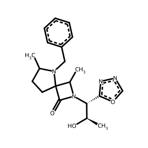 CC1CCC2(C(=O)N([C@H](c3nnco3)[C@@H](C)O)C2C)N1Cc1ccccc1